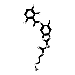 CC(C)OCCNC(=O)Nc1nc2cc(F)c(OC(C)c3c(Cl)ccc(F)c3Cl)cc2s1